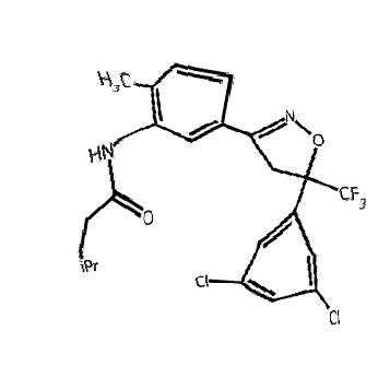 Cc1ccc(C2=NOC(c3cc(Cl)cc(Cl)c3)(C(F)(F)F)C2)cc1NC(=O)CC(C)C